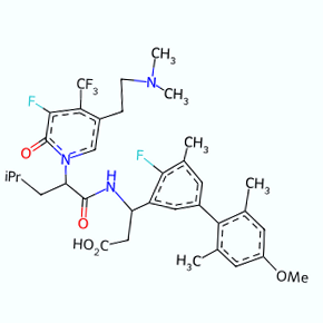 COc1cc(C)c(-c2cc(C)c(F)c(C(CC(=O)O)NC(=O)C(CC(C)C)n3cc(CCN(C)C)c(C(F)(F)F)c(F)c3=O)c2)c(C)c1